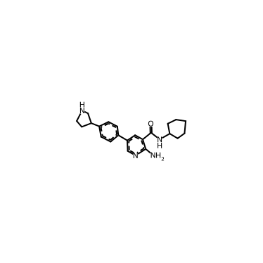 Nc1ncc(-c2ccc(C3CCNC3)cc2)cc1C(=O)NC1CCCCC1